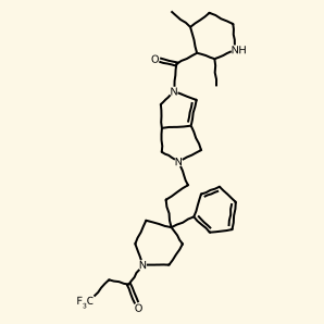 CC1CCNC(C)C1C(=O)N1C=C2CN(CCC3(c4ccccc4)CCN(C(=O)CC(F)(F)F)CC3)CC2C1